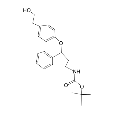 CC(C)(C)OC(=O)NCCC(Oc1ccc(CCO)cc1)c1ccccc1